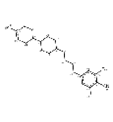 CCC[SiH]1CCC(C2CCC(CCCCc3cc(F)c(C#N)c(F)c3)CC2)CC1